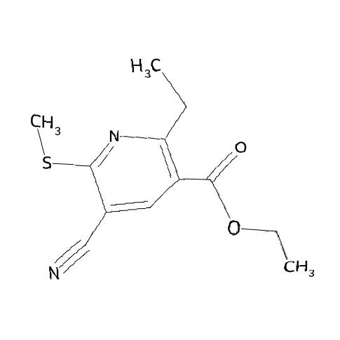 CCOC(=O)c1cc(C#N)c(SC)nc1CC